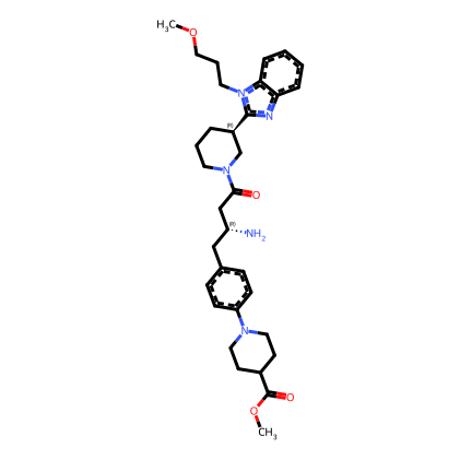 COCCCn1c([C@@H]2CCCN(C(=O)C[C@H](N)Cc3ccc(N4CCC(C(=O)OC)CC4)cc3)C2)nc2ccccc21